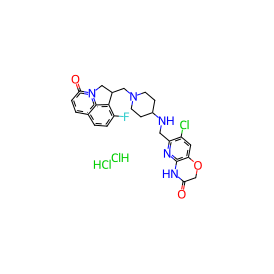 Cl.Cl.O=C1COc2cc(Cl)c(CNC3CCN(CC4Cn5c(=O)ccc6ccc(F)c4c65)CC3)nc2N1